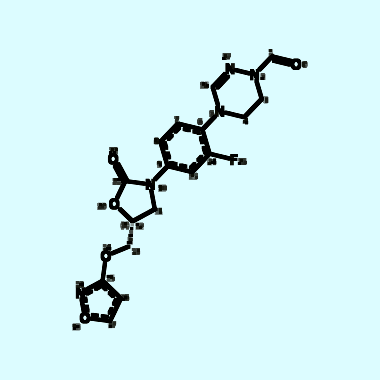 O=CN1CCN(c2ccc(N3C[C@H](COc4ccon4)OC3=O)cc2F)C=N1